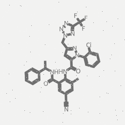 Cc1cc(C#N)cc(C(=O)NC(C)c2ccccc2)c1NC(=O)c1cc(Cn2nnc(C(F)(F)F)n2)nn1-c1ccccc1Cl